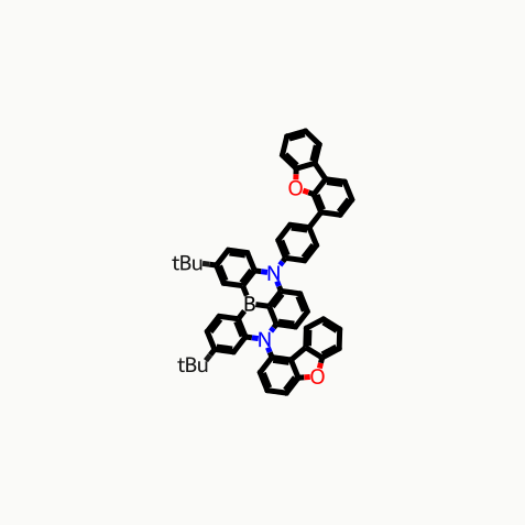 CC(C)(C)c1ccc2c(c1)B1c3ccc(C(C)(C)C)cc3N(c3cccc4oc5ccccc5c34)c3cccc(c31)N2c1ccc(-c2cccc3c2oc2ccccc23)cc1